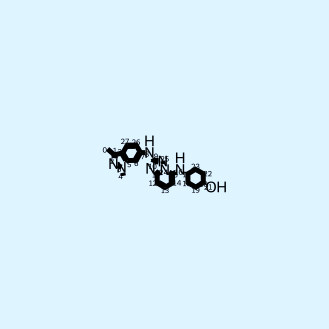 Cc1nn(C)c2cc(Nc3nc4cccc(N[C@H]5CC[C@@H](O)CC5)n4n3)ccc12